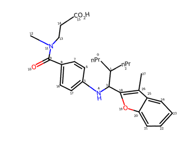 CCCC(CCC)C(Nc1ccc(C(=O)N(C)CCC(=O)O)cc1)c1oc2ccccc2c1C